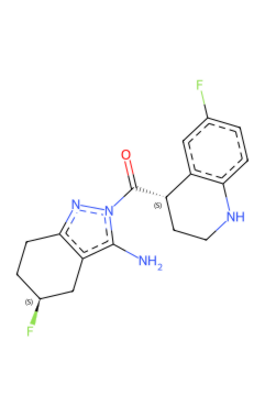 Nc1c2c(nn1C(=O)[C@H]1CCNc3ccc(F)cc31)CC[C@H](F)C2